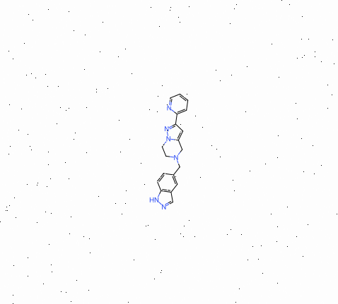 c1ccc(-c2cc3n(n2)CCN(Cc2ccc4[nH]ncc4c2)C3)nc1